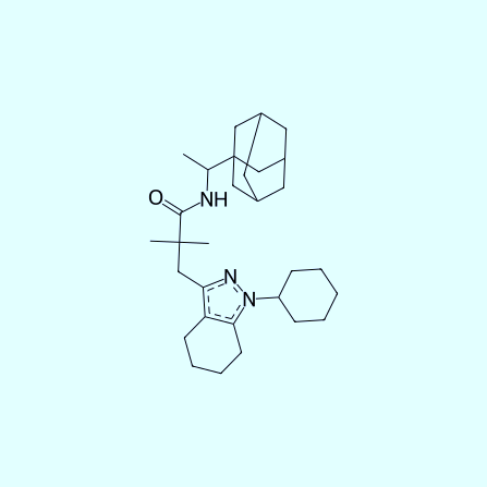 CC(NC(=O)C(C)(C)Cc1nn(C2CCCCC2)c2c1CCCC2)C12CC3CC(CC(C3)C1)C2